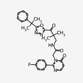 CC(C)(CNC(=O)Cn1c(-c2ccc(F)cc2)nccc1=O)C(=O)c1nnc(C(C)(C)c2ccccc2)o1